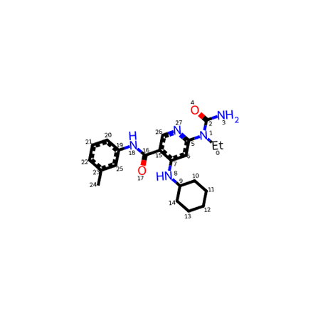 CCN(C(N)=O)c1cc(NC2CCCCC2)c(C(=O)Nc2cccc(C)c2)cn1